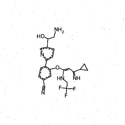 N#Cc1ccc(-c2ccc(C(O)CN)cn2)c(O/C(=C/C(=N)C2CC2)NCC(F)(F)F)c1